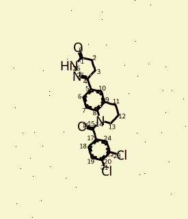 O=C1CCC(c2ccc3c(c2)CCCN3C(=O)c2ccc(Cl)c(Cl)c2)=NN1